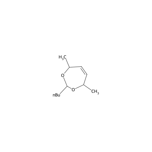 CCCCC1OC(C)C=CC(C)O1